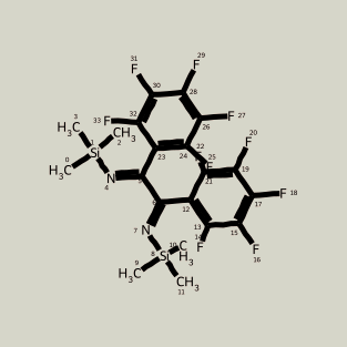 C[Si](C)(C)/N=C(/C(=N/[Si](C)(C)C)c1c(F)c(F)c(F)c(F)c1F)c1c(F)c(F)c(F)c(F)c1F